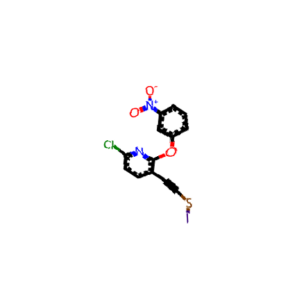 O=[N+]([O-])c1cccc(Oc2nc(Cl)ccc2C#CSI)c1